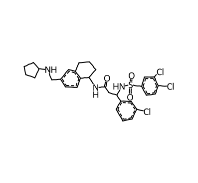 O=C(CC(NS(=O)(=O)c1ccc(Cl)c(Cl)c1)c1cccc(Cl)c1)NC1CCCc2cc(CNC3CCCC3)ccc21